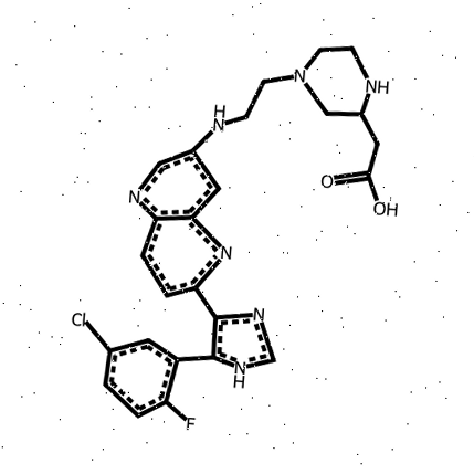 O=C(O)CC1CN(CCNc2cnc3ccc(-c4nc[nH]c4-c4cc(Cl)ccc4F)nc3c2)CCN1